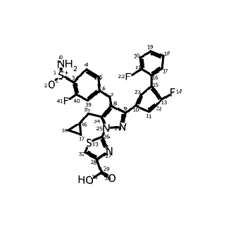 N[S+]([O-])c1ccc(Cc2c(-c3ccc(F)c(-c4ccccc4F)c3)nn(-c3nc(C(=O)O)cs3)c2CC2CC2)cc1F